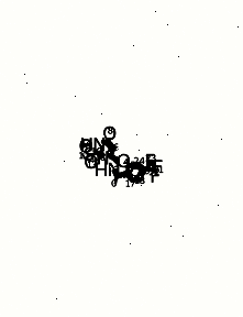 C[C@@H](NC(=O)c1cc(=O)[nH]c(S(C)(=O)=O)n1)c1ccc(C(F)(F)F)cc1